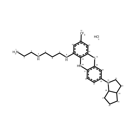 Cl.NCCNCCCNc1cc(C(F)(F)F)cc2c1Nc1ccc(N3CCC4CCCC43)cc1S2